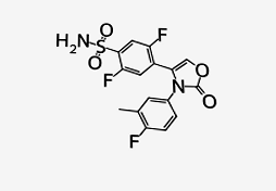 Cc1cc(-n2c(-c3cc(F)c(S(N)(=O)=O)cc3F)coc2=O)ccc1F